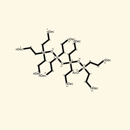 CCCCCCCCCCCC[Si](CCCCCCCCCCCC)(CCCCCCCCCCCC)O[Si](CCCCCCCCCCCC)(CCCCCCCCCCCC)O[Si](CCCCCCCCCCCC)(CCCCCCCCCCCC)O[Si](CCCCCCCCCCCC)(CCCCCCCCCCCC)OC(C)=O